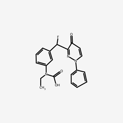 CCN(C(=O)O)c1cccc(C(F)c2nn(-c3ccccc3)ccc2=O)c1